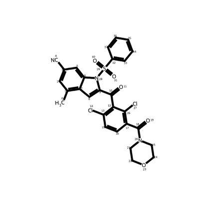 Cc1cc(C#N)cc2c1cc(C(=O)c1c(Cl)ccc(C(=O)N3CCOCC3)c1Cl)n2S(=O)(=O)c1ccccc1